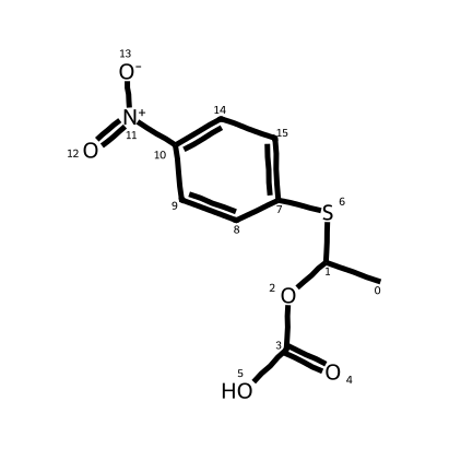 CC(OC(=O)O)Sc1ccc([N+](=O)[O-])cc1